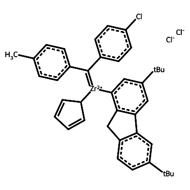 Cc1ccc([C](c2ccc(Cl)cc2)=[Zr+2]([c]2cc(C(C)(C)C)cc3c2Cc2ccc(C(C)(C)C)cc2-3)[CH]2C=CC=C2)cc1.[Cl-].[Cl-]